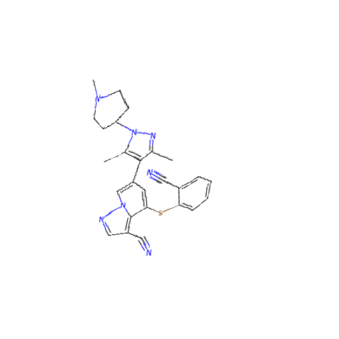 Cc1nn(C2CCN(C)CC2)c(C)c1-c1cc(Sc2ccccc2C#N)c2c(C#N)cnn2c1